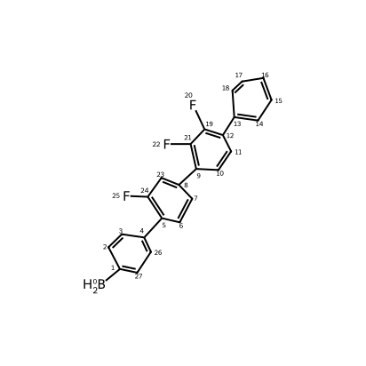 Bc1ccc(-c2ccc(-c3ccc(-c4ccccc4)c(F)c3F)cc2F)cc1